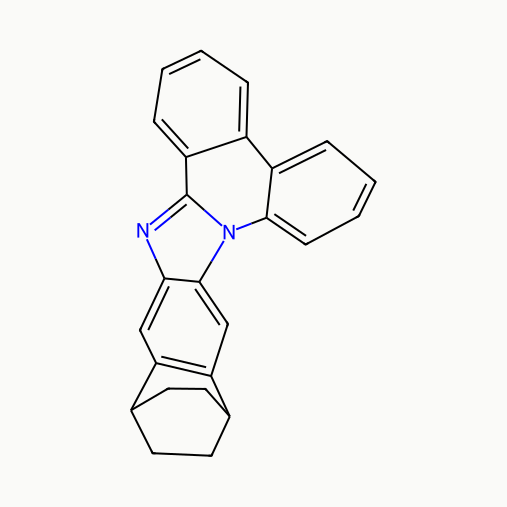 c1ccc2c(c1)c1ccccc1n1c3cc4c(cc3nc21)C1CCC4CC1